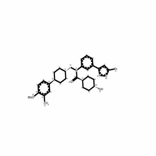 CCc1cc(-c2cccc(N(C[C@H]3CC[C@H](c4ccc(OC)c(C)c4)CC3)C(=O)[C@H]3CC[C@H](O)CC3)c2)ns1